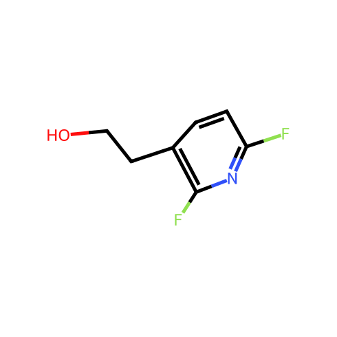 OCCc1ccc(F)nc1F